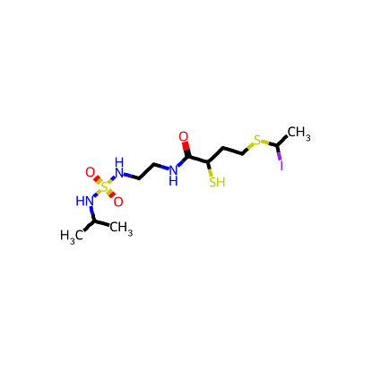 CC(C)NS(=O)(=O)NCCNC(=O)C(S)CCSC(C)I